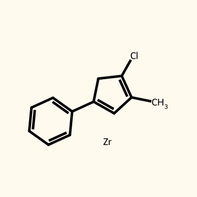 CC1=C(Cl)CC(c2ccccc2)=C1.[Zr]